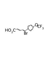 O=C(O)/C=C/C=C(\Br)c1ccc(OC(F)(F)F)cc1